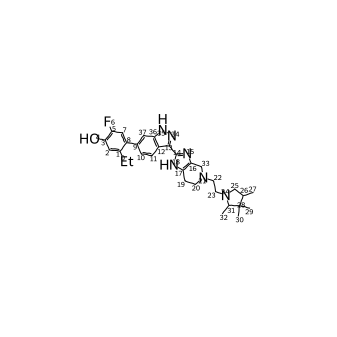 CCc1cc(O)c(F)cc1-c1ccc2c(-c3nc4c([nH]3)CCN(CCN3CC(C)C(C)(C)C3C)C4)n[nH]c2c1